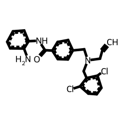 C#CCN(Cc1ccc(C(=O)Nc2ccccc2N)cc1)Cc1c(Cl)cccc1Cl